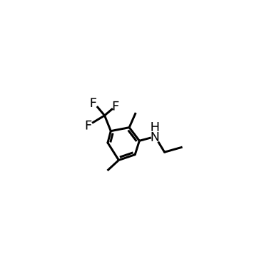 CCNc1cc(C)cc(C(F)(F)F)c1C